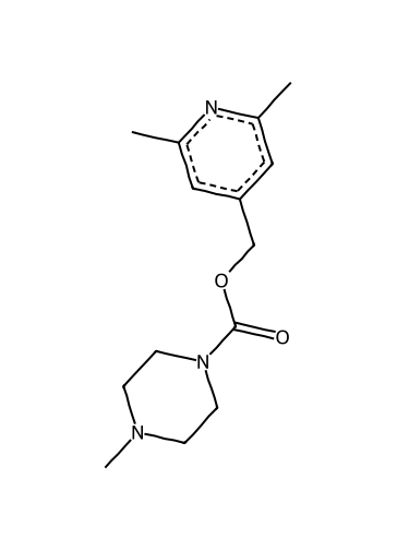 Cc1cc(COC(=O)N2CCN(C)CC2)cc(C)n1